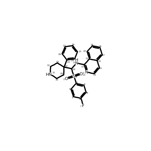 O=S(=O)(c1ccc(F)cc1)C(Nc1nccc2ccccc12)C1(c2ccccc2)CCNCC1